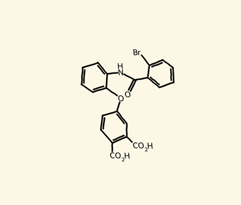 O=C(Nc1ccccc1Oc1ccc(C(=O)O)c(C(=O)O)c1)c1ccccc1Br